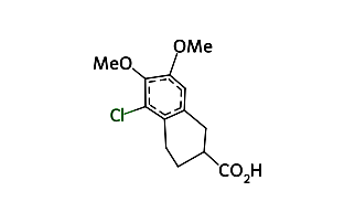 COc1cc2c(c(Cl)c1OC)CCC(C(=O)O)C2